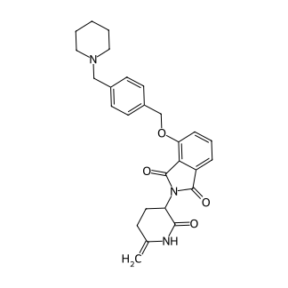 C=C1CCC(N2C(=O)c3cccc(OCc4ccc(CN5CCCCC5)cc4)c3C2=O)C(=O)N1